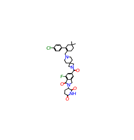 CC1(C)CCC(CN2CCC3(CC2)CN(C(=O)c2cc(F)c4c(c2)CN(C2CCC(=O)NC2=O)C4=O)C3)=C(c2ccc(Cl)cc2)C1